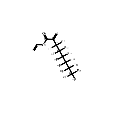 C=COC(=O)C(=C)C(F)(F)C(F)(F)C(F)(F)C(F)(F)C(F)(F)C(F)(F)F